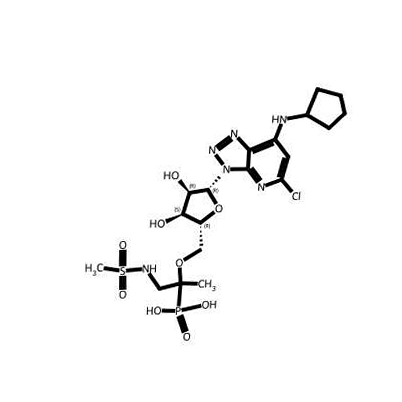 CC(CNS(C)(=O)=O)(OC[C@H]1O[C@@H](n2nnc3c(NC4CCCC4)cc(Cl)nc32)[C@H](O)[C@@H]1O)P(=O)(O)O